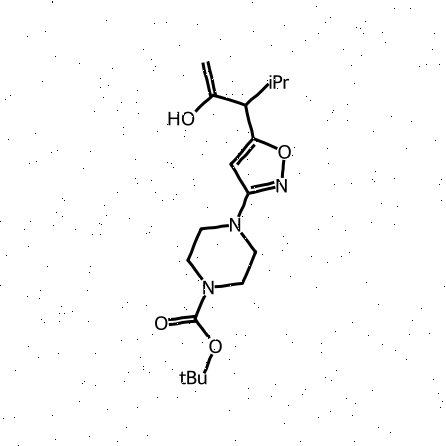 C=C(O)C(c1cc(N2CCN(C(=O)OC(C)(C)C)CC2)no1)C(C)C